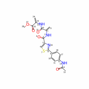 C=C(NC(=O)c1csc(-c2ccc(NC(C)=O)cc2)n1)C(=O)NC(=C)C(=O)OC